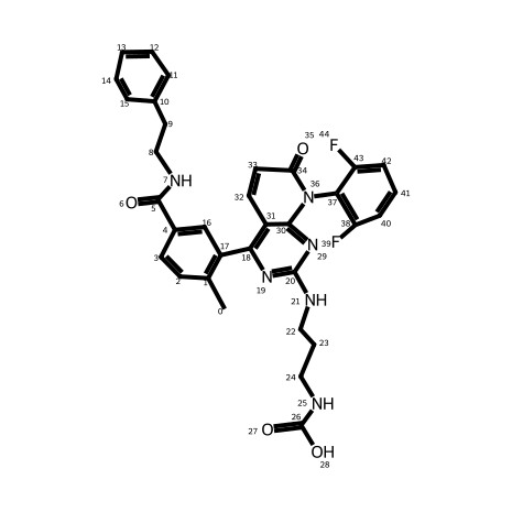 Cc1ccc(C(=O)NCCc2ccccc2)cc1-c1nc(NCCCNC(=O)O)nc2c1ccc(=O)n2-c1c(F)cccc1F